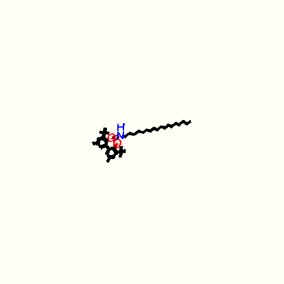 CCCCCCCCCCCCCCCCCCNp1oc2c(C(C)(C)C)cc(C)cc2c2cc(C)cc(C(C)(C)C)c2o1